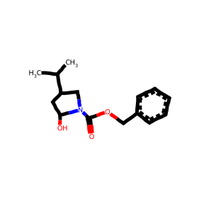 CC(C)C1CC(O)N(C(=O)OCc2ccccc2)C1